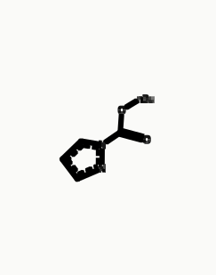 CCCCOC(=O)n1cccn1